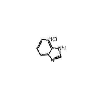 Cl.c1ccc2[nH]cnc2c1